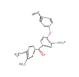 COc1ccc(Oc2ccc(C(=O)c3ccc(C)c(S(=O)(=O)O)c3)cc2S(=O)(=O)O)cc1